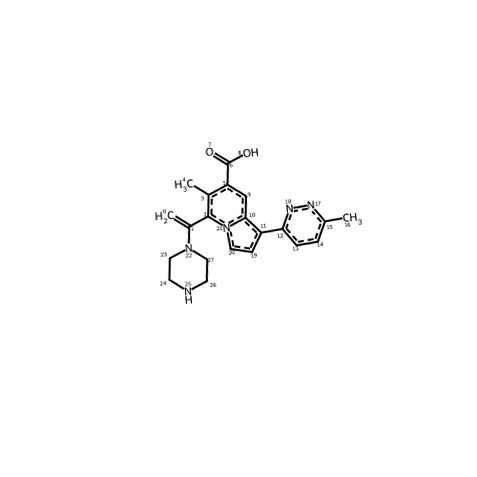 C=C(c1c(C)c(C(=O)O)cc2c(-c3ccc(C)nn3)ccn12)N1CCNCC1